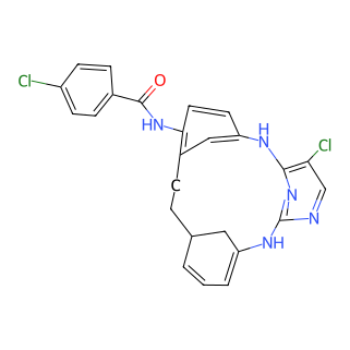 O=C(Nc1ccc2cc1CCC1C=CC=C(C1)Nc1ncc(Cl)c(n1)N2)c1ccc(Cl)cc1